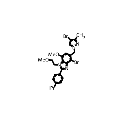 COCCn1c(-c2ccc(C(C)C)cc2)nc2c(Br)c(Cn3cc(Br)c(C)n3)cc(OC)c21